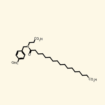 O=[C]c1ccc(CN(CCC(=O)O)C(=O)CCCCCCCCCCCCCCCC(=O)O)cc1